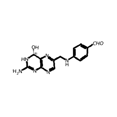 NC1=Nc2ncc(CNc3ccc(C=O)cc3)nc2[C@@H](O)N1